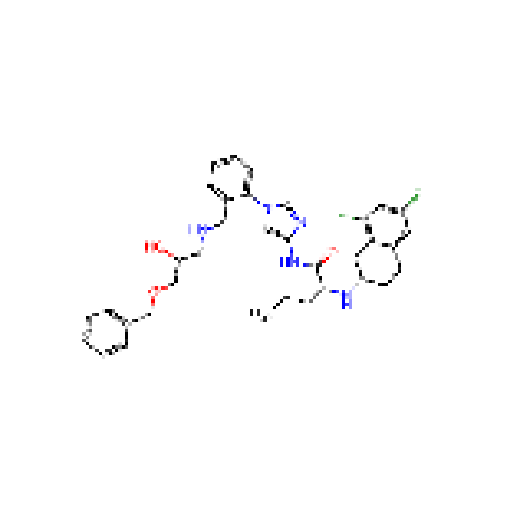 CCCC(N[C@H]1CCc2cc(F)cc(F)c2C1)C(=O)Nc1cn(-c2ccccc2CNCC(O)COCc2ccccc2)cn1